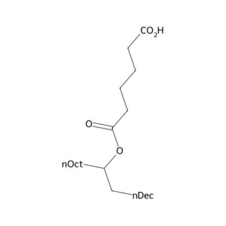 CCCCCCCCCCCC(CCCCCCCC)OC(=O)CCCCC(=O)O